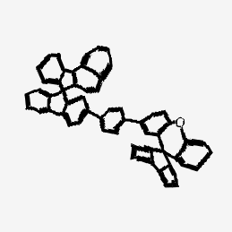 c1ccc2c(c1)Oc1ccc(-c3ccc(-c4ccc5c(c4)C4(c6ccccc6-5)c5ccccc5-c5c4ccc4ccccc54)cc3)cc1C21c2ccccc2-c2ccccc21